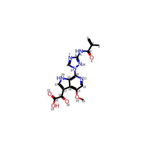 C=C(C)C(=O)Nc1ncn(-c2ncc(OC)c3c(C(=O)C(=O)O)c[nH]c23)n1